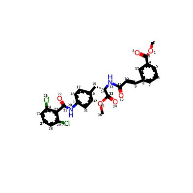 COC(=O)c1cccc(/C=C/C(=O)N[C@@H](Cc2ccc(NC(=O)c3c(Cl)cccc3Cl)cc2)C(=O)OC)c1